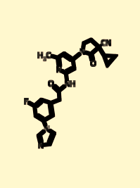 Cc1cc(N2CC[C@@](C#N)(C3CC3)C2=O)cc(NC(=O)Cc2cc(F)cc(-n3ccnc3)c2)n1